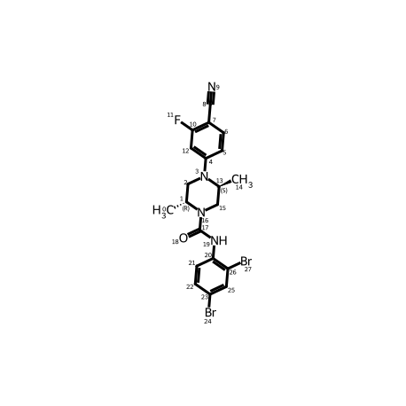 C[C@@H]1CN(c2ccc(C#N)c(F)c2)[C@@H](C)CN1C(=O)Nc1ccc(Br)cc1Br